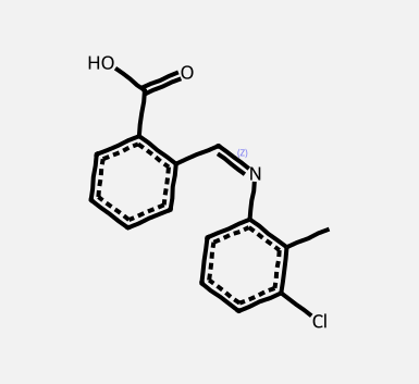 Cc1c(Cl)cccc1/N=C\c1ccccc1C(=O)O